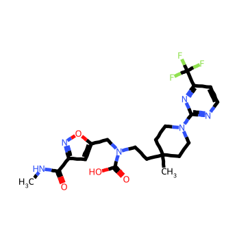 CNC(=O)c1cc(CN(CCC2(C)CCN(c3nccc(C(F)(F)F)n3)CC2)C(=O)O)on1